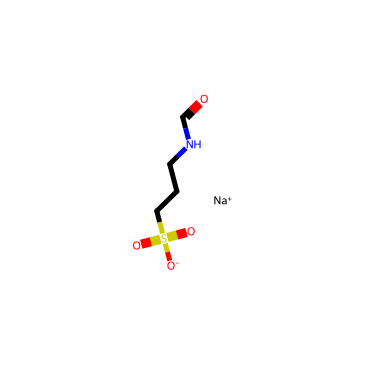 O=CNCCCS(=O)(=O)[O-].[Na+]